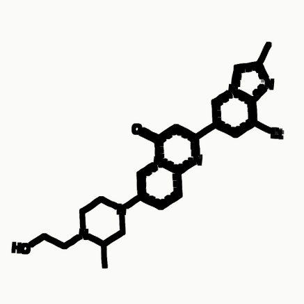 CCc1cc(-c2cc(=O)n3cc(N4CCN(CCO)C(C)C4)ccc3n2)cn2cc(C)nc12